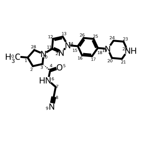 CC1C[C@@H](C(=O)NCC#N)N(c2ccn(-c3ccc(N4CCNCC4)cc3)n2)C1